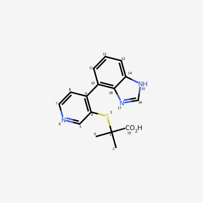 CC(C)(Sc1cnccc1-c1cccc2[nH]cnc12)C(=O)O